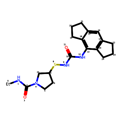 CCNC(=O)N1CCC(SNC(=O)Nc2c3c(cc4c2CCC4)CCC3)C1